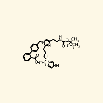 CCCCc1nc(CCNC(=O)OC(C)(C)C)cn1Cc1ccc(-c2ccccc2C(=O)OC)cc1.c1c[nH]cn1